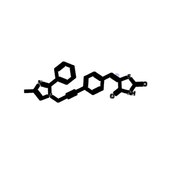 Cc1cn(CC#Cc2ccc(/C=C3/SC(=O)NC3=O)cc2)c(-c2ccccc2)n1